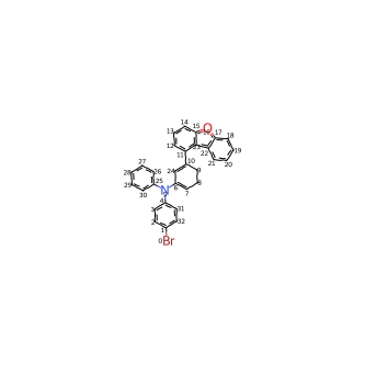 Brc1ccc(N(C2=CCCC(c3cccc4oc5ccccc5c34)=C2)c2ccccc2)cc1